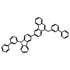 c1ccc(-c2cccc(Cc3cc4ccccc4c4cc(-c5ccc6c(c5)c5ccccc5n6-c5cccc(-c6ccccc6)c5)ccc34)c2)cc1